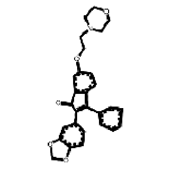 O=C1C(c2ccc3c(c2)OCO3)=C(c2ccccc2)c2ccc(OCCN3CCOCC3)cc21